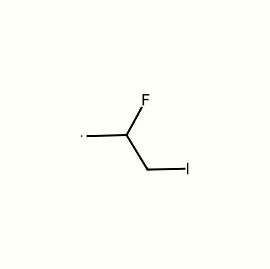 [CH2]C(F)CI